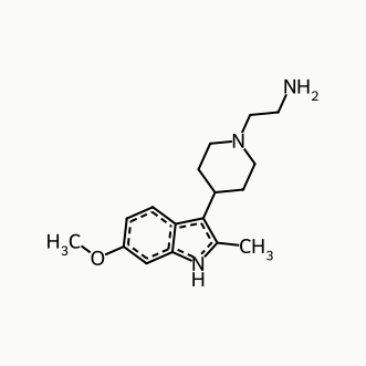 COc1ccc2c(C3CCN(CCN)CC3)c(C)[nH]c2c1